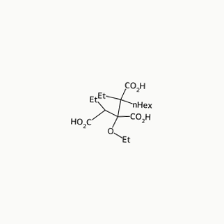 CCCCCCC(CC)(C(=O)O)C(OCC)(C(=O)O)C(CC)C(=O)O